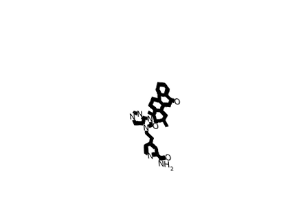 CC1C=c2c(ccc3c2=CC(=O)c2ccccc2-3)C(C)(N2CN(CCc3ccnc(C(N)=O)c3)c3cncnc32)C1=O